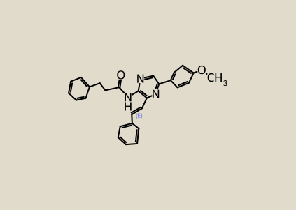 COc1ccc(-c2cnc(NC(=O)CCc3ccccc3)c(/C=C/c3ccccc3)n2)cc1